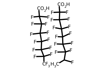 CC(F)C(F)(F)C(F)(F)C(F)(F)C(F)(F)C(F)(F)C(F)(F)C(=O)O.O=C(O)C(F)(F)C(F)(F)C(F)(F)C(F)(F)C(F)(F)C(F)(F)C(F)(F)F